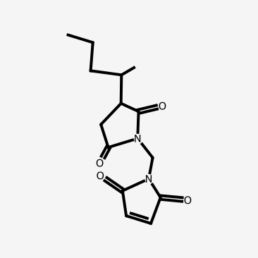 CCCC(C)C1CC(=O)N(CN2C(=O)C=CC2=O)C1=O